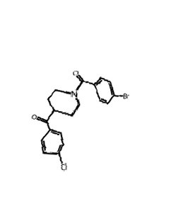 O=C(c1ccc(Cl)cc1)C1CCN(C(=O)c2ccc(Br)cc2)CC1